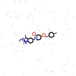 CCn1nc2ccc(-n3ccc(OCc4ccc(C)cc4)cc3=O)cc2c1C